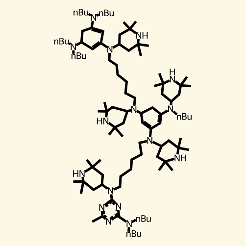 CCCCN(CCCC)C1=CC(N(CCCCCCN(C2C=C(N(CCCCCCN(c3nc(C)nc(N(CCCC)CCCC)n3)C3CC(C)(C)NC(C)(C)C3)C3CC(C)(C)NC(C)(C)C3)C=C(N(CCCC)C3CC(C)(C)NC(C)(C)C3)C2)C2CC(C)(C)NC(C)(C)C2)C2CC(C)(C)NC(C)(C)C2)=CC(N(CCCC)CCCC)C1